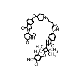 CC1(C)C(NC(=O)c2ccc(-n3cc(CCCN4CCC(Oc5ccc6c(c5)CN(C5CCC(=O)NC5=O)C6=O)CC4)nn3)cc2)C(C)(C)C1Oc1ccc(C#N)c(Cl)c1